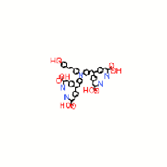 N#C/C(=C\c1ccc(C(=Cc2ccc(N(c3ccc(C=C(c4ccc(/C=C(\C#N)C(=O)O)cc4)c4ccc(/C=C(\C#N)C(=O)O)cc4)cc3)c3ccc(/C=C/c4ccc(O)cc4)cc3)cc2)c2ccc(/C=C(\C#N)C(=O)O)cc2)cc1)C(=O)O